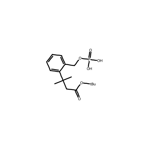 CC(C)(C)OC(=O)CC(C)(C)c1ccccc1COP(=O)(O)O